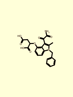 Cc1c(C(=O)C(N)=O)c2c(OC(CC(=O)O)C(=O)O)cccc2n1Cc1ccccc1